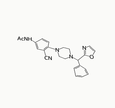 CC(=O)Nc1ccc(N2CCN(C(c3ccccc3)c3ncco3)CC2)c(C#N)c1